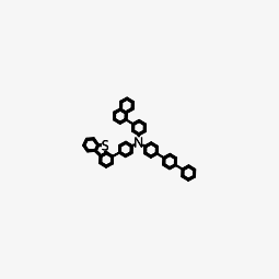 c1ccc(-c2ccc(-c3ccc(N(c4ccc(-c5cccc6c5sc5ccccc56)cc4)c4cccc(-c5cccc6ccccc56)c4)cc3)cc2)cc1